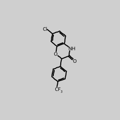 O=C1Nc2ccc(Cl)cc2OC1c1ccc(C(F)(F)F)cc1